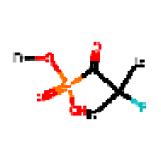 CCOP(=O)(O)C(=O)C(F)(CC)CC